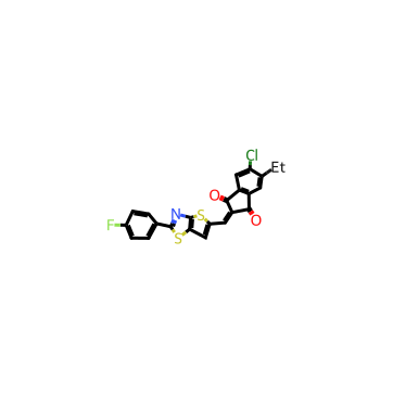 CCc1cc2c(cc1Cl)C(=O)/C(=C\c1cc3sc(-c4ccc(F)cc4)nc3s1)C2=O